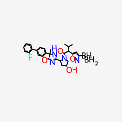 BBc1cc(C(C(=O)N2CC(O)CC2C2=NC(=O)C(C)(c3ccc(-c4ccccc4F)cc3)N2)C(C)C)on1